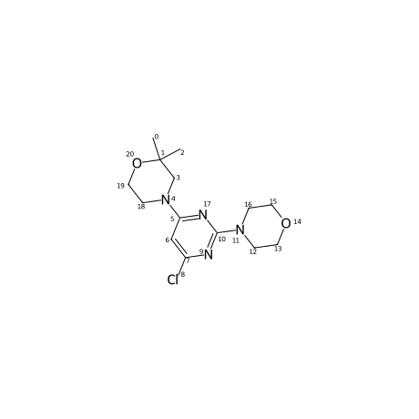 CC1(C)CN(c2cc(Cl)nc(N3CCOCC3)n2)CCO1